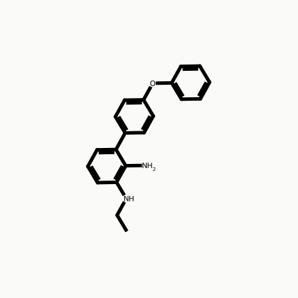 CCNc1cccc(-c2ccc(Oc3ccccc3)cc2)c1N